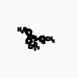 CC(=Cn1c2c(c3ccc(C(F)(F)F)cc31)CN(C)CC2)c1ccc(C)nc1